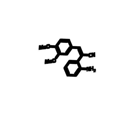 COc1ccc(C=C(C#N)c2ccccc2N)cc1OC